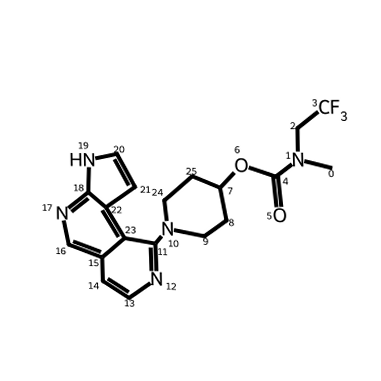 CN(CC(F)(F)F)C(=O)OC1CCN(c2nccc3cnc4[nH]ccc4c23)CC1